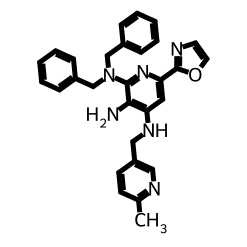 Cc1ccc(CNc2cc(-c3ncco3)nc(N(Cc3ccccc3)Cc3ccccc3)c2N)cn1